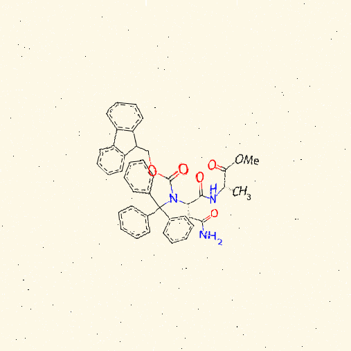 COC(=O)[C@H](C)NC(=O)[C@H](CC(N)=O)N(C(=O)OCC1c2ccccc2-c2ccccc21)C(c1ccccc1)(c1ccccc1)c1ccccc1